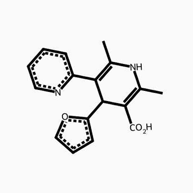 CC1=C(C(=O)O)C(c2ccco2)C(c2ccccn2)=C(C)N1